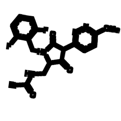 CCC(=O)NCC1C(=O)C(c2ccc(OC)nn2)C(=O)[SH]1Cc1c(F)cccc1F